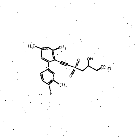 Cc1cc(C)c(C#CS(=O)(=O)CC(O)CC(=O)O)c(-c2ccc(F)c(C)c2)c1